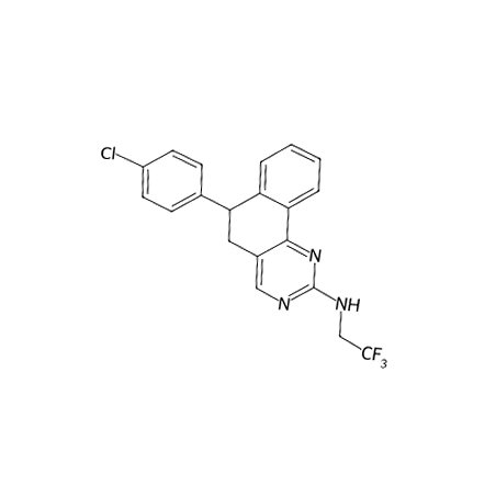 FC(F)(F)CNc1ncc2c(n1)-c1ccccc1C(c1ccc(Cl)cc1)C2